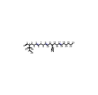 C=CC(CC/C=C/CC/C=C/CC(C#N)CC/C=C/CCCCC)C(C)(C)CC